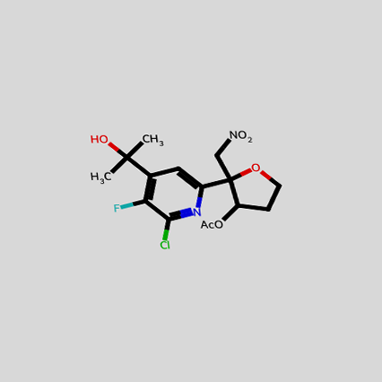 CC(=O)OC1CCOC1(C[N+](=O)[O-])c1cc(C(C)(C)O)c(F)c(Cl)n1